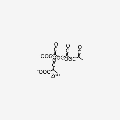 CC(=C=O)C(=O)[O-].CC(=C=O)C(=O)[O-].CC(=C=O)C(=O)[O-].CC(=C=O)C(=O)[O-].[Zr+4]